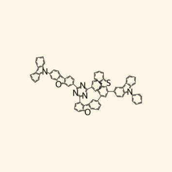 c1ccc(-c2nc(-c3ccc4c(c3)oc3cc(-n5c6ccccc6c6ccccc65)ccc34)nc(-c3cccc4oc5ccc(-c6cc(-c7ccc8c(c7)c7ccccc7n8-c7ccccc7)c7sc8ccccc8c7c6)cc5c34)n2)cc1